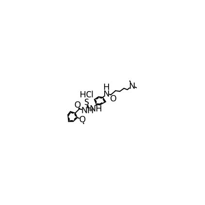 COc1ccccc1C(=O)NC(=S)Nc1ccc(NC(=O)CCCCN(C)C)cc1.Cl